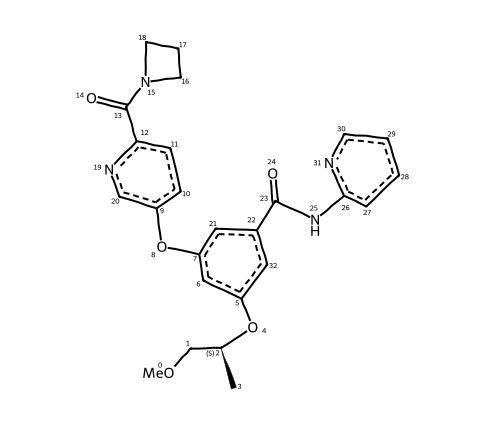 COC[C@H](C)Oc1cc(Oc2ccc(C(=O)N3CCC3)nc2)cc(C(=O)Nc2ccccn2)c1